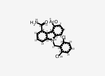 CC(=O)Oc1cccc2c1c1c(C(N)=O)cccc1n2Cc1c(Cl)cccc1Cl